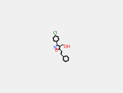 OCc1c(-c2ccc(Cl)cc2)noc1/C=C/c1ccccc1